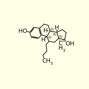 CCCCC1C[C@]2(C)[C@@H](O)CC[C@H]2[C@@H]2CCc3cc(O)ccc3[C@@H]12